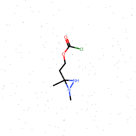 CN1NC1(C)CCOC(=O)Cl